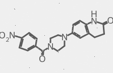 O=C1CCc2cc(N3CCN(C(=O)c4ccc([N+](=O)[O-])cc4)CC3)ccc2N1